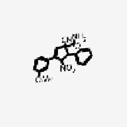 COc1cccc(C2=CC(C#N)(C(N)=O)C(c3ccccc3)C2[N+](=O)[O-])c1